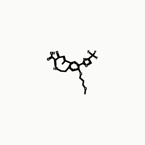 COCCCOc1cc2c(cc1-c1nc(C(F)(F)F)co1)/C(C)=C/C(=O)/C(C(=O)O)=C\NCC2